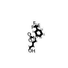 O=C1OC(CCO)CN1c1cccc(C(F)(F)F)c1